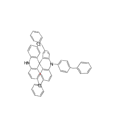 Clc1ccc2c(c1)C1(c3cc(Cl)ccc3N2)c2cc(-c3ccccc3)ccc2N(c2ccc(-c3ccccc3)cc2)c2ccc(-c3ccccc3)cc21